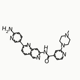 CN1CCN(c2cc(C(=O)Nc3cc4nc(-c5ccc(N)nc5)ccc4cn3)ccn2)CC1